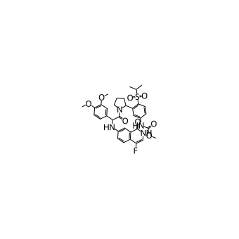 COC(=O)Nc1ccc(S(=O)(=O)C(C)C)c(C2CCCN2C(=O)C(Nc2ccc3c(F)c[nH]c(=O)c3c2)c2ccc(OC)c(OC)c2)c1